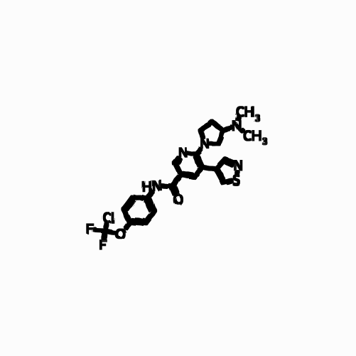 CN(C)C1CCN(c2ncc(C(=O)Nc3ccc(OC(F)(F)Cl)cc3)cc2-c2cnsc2)C1